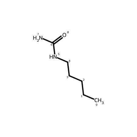 CCCC[CH]NC(N)=O